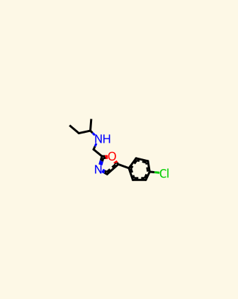 CCC(C)NCc1ncc(-c2ccc(Cl)cc2)o1